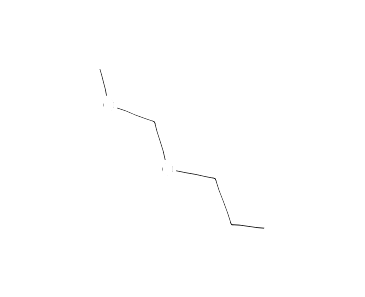 CC[CH]OCOC